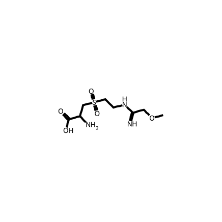 COCC(=N)NCCS(=O)(=O)CC(N)C(=O)O